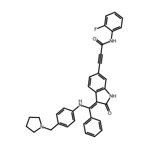 O=C(C#Cc1ccc2c(c1)NC(=O)C2=C(Nc1ccc(CN2CCCC2)cc1)c1ccccc1)Nc1ccccc1F